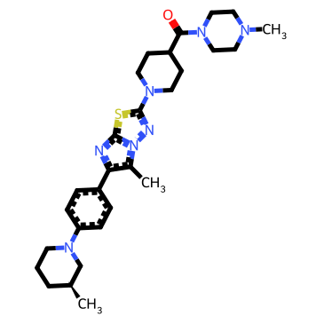 Cc1c(-c2ccc(N3CCC[C@H](C)C3)cc2)nc2sc(N3CCC(C(=O)N4CCN(C)CC4)CC3)nn12